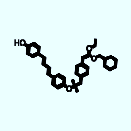 CCOC(=Cc1ccc(CC(C)(C)Oc2ccc(C=CC=Cc3ccc(O)cc3)cc2)cc1)OCC1CCCCC1